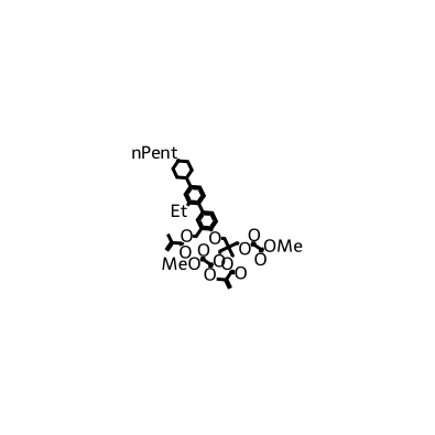 C=C(C)C(=O)OCc1cc(-c2ccc(C3CCC(CCCCC)CC3)cc2CC)ccc1OCC(COC(=O)C(=C)C)(COC(=O)C(=O)OC)COC(=O)C(=O)OC